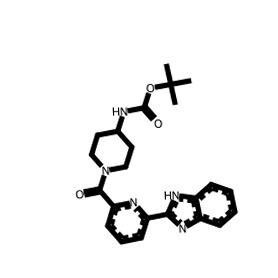 CC(C)(C)OC(=O)NC1CCN(C(=O)c2cccc(-c3nc4ccccc4[nH]3)n2)CC1